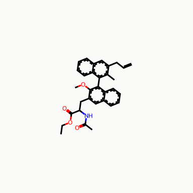 C=CCc1cc2ccccc2c(-c2c(OC)c(CC(NC(C)=O)C(=O)OCC)cc3ccccc23)c1C